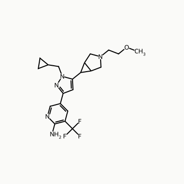 COCCN1CC2C(C1)C2c1cc(-c2cnc(N)c(C(F)(F)F)c2)nn1CC1CC1